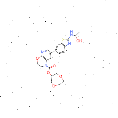 CC(O)Nc1nc2ccc(-c3cnc4c(c3)N(C(=O)OC3COCCOC3)CCO4)cc2s1